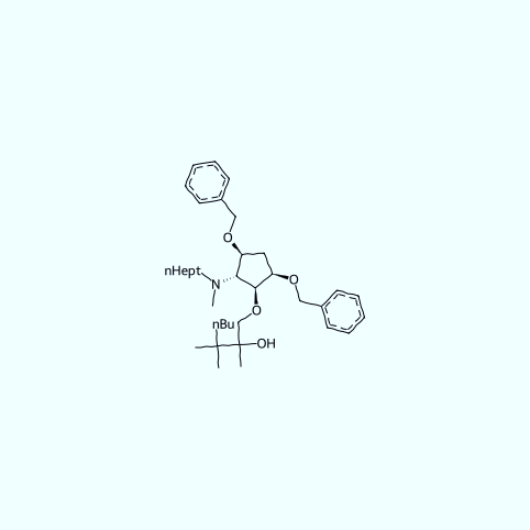 CCCCCCCN(C)[C@H]1[C@H](OCC(C)(O)C(C)(C)CCCC)[C@H](OCc2ccccc2)C[C@@H]1OCc1ccccc1